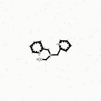 [CH2]CN(Cc1ccccn1)Cc1ccccn1